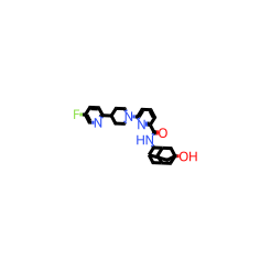 O=C(NC1C2CC3CC1CC(O)(C3)C2)c1cccc(N2CCC(c3ccc(F)cn3)CC2)n1